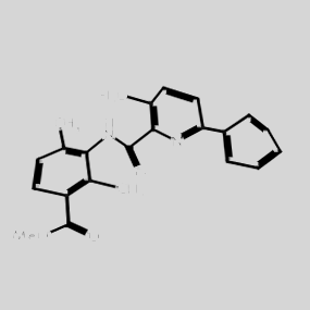 COC(=O)c1ccc(C)c(NC(=O)c2nc(-c3ccccc3)ccc2C)c1C